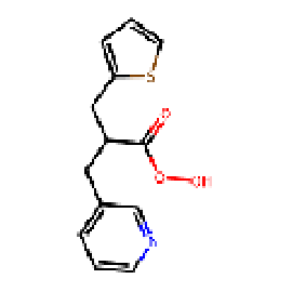 O=C(OO)C(Cc1cccnc1)Cc1cccs1